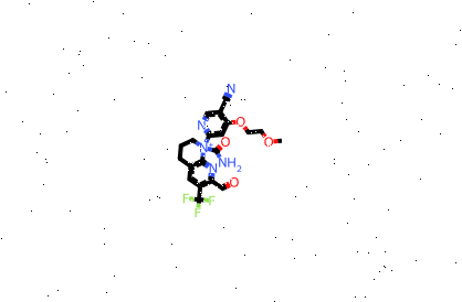 COCCOc1cc([N+]2(C(N)=O)CCCc3cc(C(F)(F)F)c(C=O)nc32)ncc1C#N